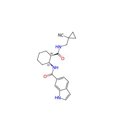 N#CC1(CNC(=O)[C@@H]2CCCC[C@@H]2NC(=O)c2ccc3cc[nH]c3c2)CC1